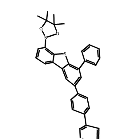 CC1(C)OB(c2cccc3c2sc2c(-c4ccccc4)cc(-c4ccc(-c5ccccc5)cc4)cc23)OC1(C)C